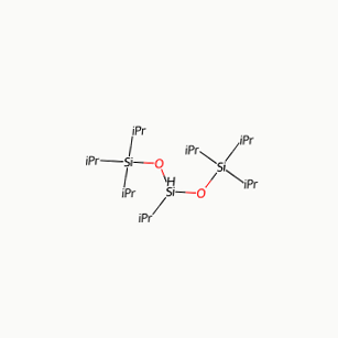 CC(C)[SiH](O[Si](C(C)C)(C(C)C)C(C)C)O[Si](C(C)C)(C(C)C)C(C)C